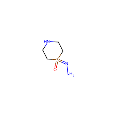 NN=S1(=O)CCNCC1